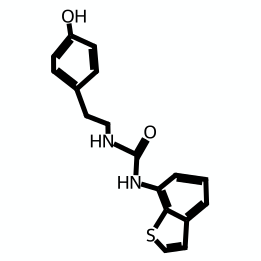 O=C(NCCc1ccc(O)cc1)Nc1cccc2ccsc12